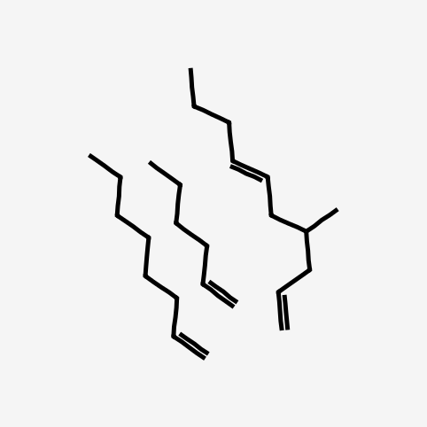 C=CCC(C)CC=CCCC.C=CCCCC.C=CCCCCCC